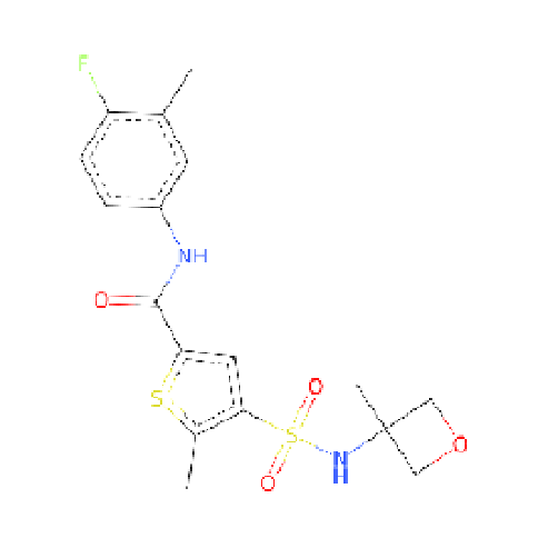 Cc1cc(NC(=O)c2cc(S(=O)(=O)NC3(C)COC3)c(C)s2)ccc1F